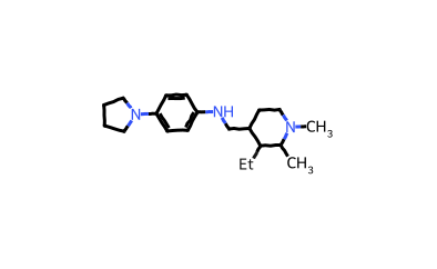 CCC1C(CNc2ccc(N3CCCC3)cc2)CCN(C)C1C